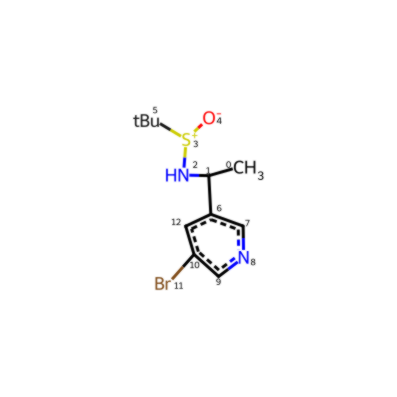 CC(N[S+]([O-])C(C)(C)C)c1cncc(Br)c1